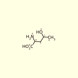 CC(O)CC(N)C(=O)O